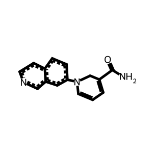 NC(=O)C1=CC=CN(c2ccc3ccncc3c2)C1